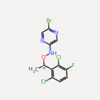 C[C@@H](ONc1cnc(Br)cn1)c1c(Cl)ccc(F)c1Cl